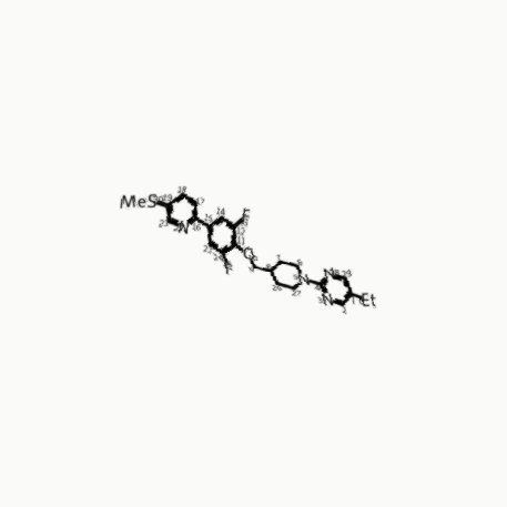 CCc1cnc(N2CCC(COc3c(F)cc(-c4ccc(SC)cn4)cc3F)CC2)nc1